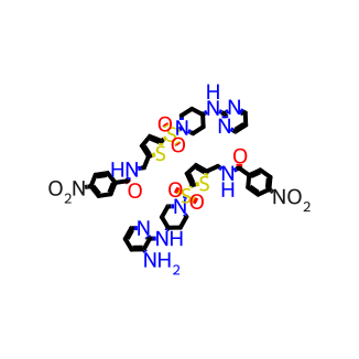 Nc1cccnc1NC1CCN(S(=O)(=O)c2ccc(CNC(=O)c3ccc([N+](=O)[O-])cc3)s2)CC1.O=C(NCc1ccc(S(=O)(=O)N2CCC(Nc3ncccn3)CC2)s1)c1ccc([N+](=O)[O-])cc1